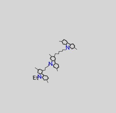 CCn1c2cc(C)ccc2c2c(CCCCn3c4cc(C)ccc4c4cc(CCCCCCn5c6cc(C)ccc6c6ccc(C)cc65)c(C)cc43)cc(C)cc21